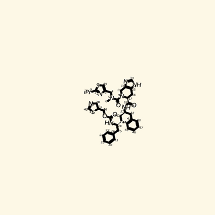 CC(C)c1nc(CN(C)C(=O)N2Cc3nc[nH]c3C[C@H]2C(=O)N[C@H](CC[C@H](Cc2ccccc2)NC(=O)OCC2CN=CS2)Cc2ccccc2)cs1